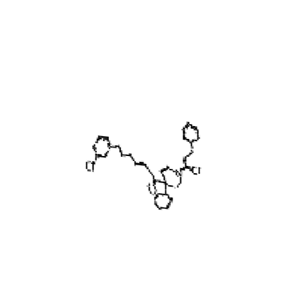 O=C(CCc1ccccc1)N1CCC(C(=O)CCCCCc2cccc(Cl)c2)(c2ccccc2)CC1